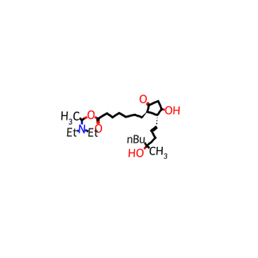 CCCCC(C)(O)C/C=C/[C@H]1C(O)CC(=O)[C@@H]1CCCCCCC(=O)OC(C)N(CC)CC